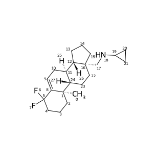 C[C@]12CCCC(F)(F)C1=CC[C@H]1[C@@H]3CCC[C@@]3(CNC3CC3)CC[C@@H]12